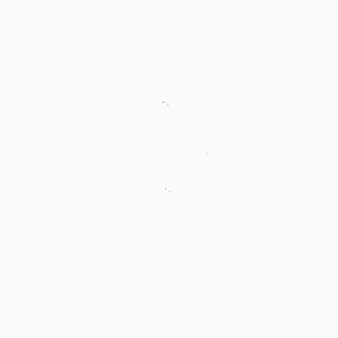 [c]1cnc(-c2cscn2)nc1